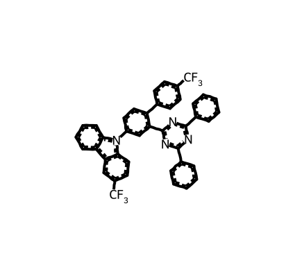 FC(F)(F)c1ccc(-c2ccc(-n3c4ccccc4c4cc(C(F)(F)F)ccc43)cc2-c2nc(-c3ccccc3)nc(-c3ccccc3)n2)cc1